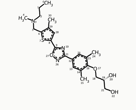 CCCN(C)Cc1sc(-c2nc(-c3cc(C)c(OC[C@H](O)CO)c(C)c3)no2)cc1C